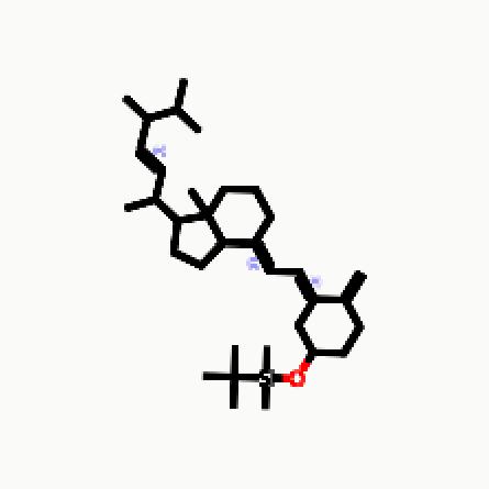 C=C1CCC(O[Si](C)(C)C(C)(C)C)C/C1=C\C=C1/CCCC2(C)C1CCC2C(C)/C=C/C(C)C(C)C